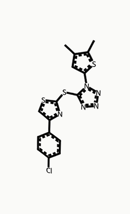 Cc1cc(-n2nnnc2Sc2nc(-c3ccc(Cl)cc3)cs2)sc1C